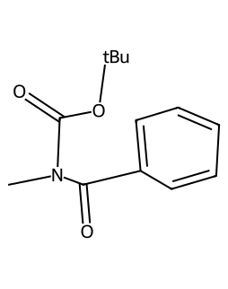 CN(C(=O)OC(C)(C)C)C(=O)c1ccccc1